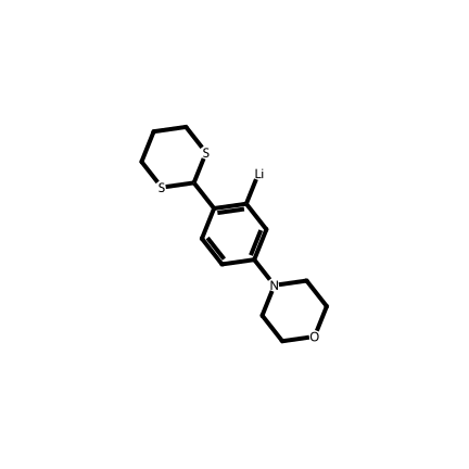 [Li][c]1cc(N2CCOCC2)ccc1C1SCCCS1